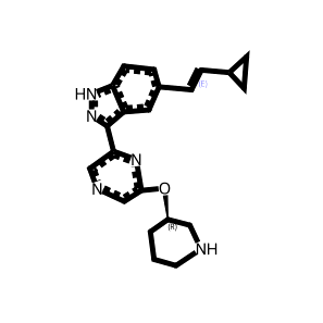 C(=C\C1CC1)/c1ccc2[nH]nc(-c3cncc(O[C@@H]4CCCNC4)n3)c2c1